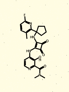 Cc1ccc(F)nc1C1(Nc2c(Nc3ccnc(C(=O)N(C)C)c3O)c(=O)c2=O)CCCC1